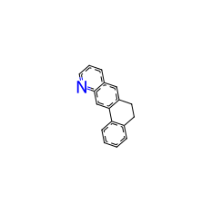 c1ccc2c(c1)CCc1cc3cccnc3cc1-2